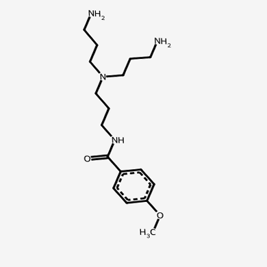 COc1ccc(C(=O)NCCCN(CCCN)CCCN)cc1